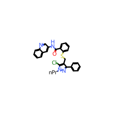 CCCn1nc(-c2ccccc2)c(CSc2ccccc2C(=O)Nc2cnc3ccccc3c2)c1Cl